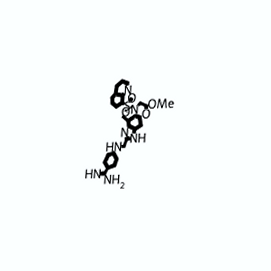 COC(=O)CN(c1ccc2[nH]c(CNc3ccc(C(=N)N)cc3)nc2c1C)S(=O)(=O)c1cccc2cccnc12